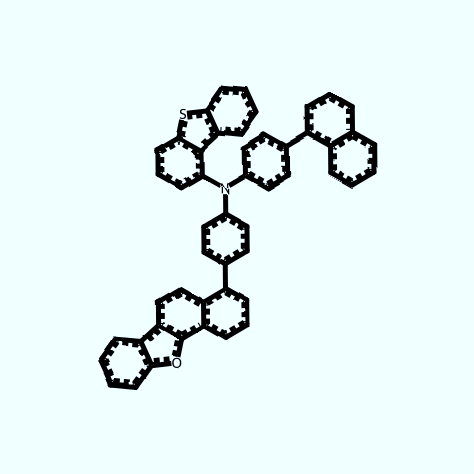 c1ccc2c(-c3ccc(N(c4ccc(-c5cccc6c5ccc5c7ccccc7oc65)cc4)c4cccc5sc6ccccc6c45)cc3)cccc2c1